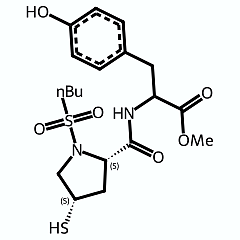 CCCCS(=O)(=O)N1C[C@@H](S)C[C@H]1C(=O)NC(Cc1ccc(O)cc1)C(=O)OC